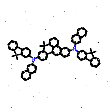 CC1(C)c2ccccc2-c2ccc(N(c3ccc4c(c3)C(C)(C)c3cccc5c3c-4cc3ccc(N(c4ccc6c(c4)C(C)(C)c4ccccc4-6)c4ccc6ccccc6c4)cc35)c3ccc4ccccc4c3)cc21